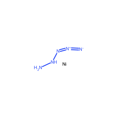 [N-]=[N+]=NNN.[Ni]